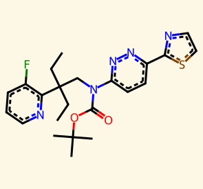 CCC(CC)(CN(C(=O)OC(C)(C)C)c1ccc(-c2nccs2)nn1)c1ncccc1F